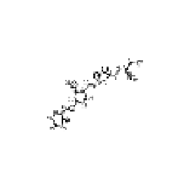 C=C/C=C(/C=C/C(=O)CC(=O)/C=C/c1ccc(OCc2ccccn2)cc1OC)N=C